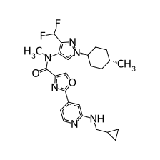 CN(C(=O)c1coc(-c2ccnc(NCC3CC3)c2)n1)c1cn([C@H]2CC[C@H](C)CC2)nc1C(F)F